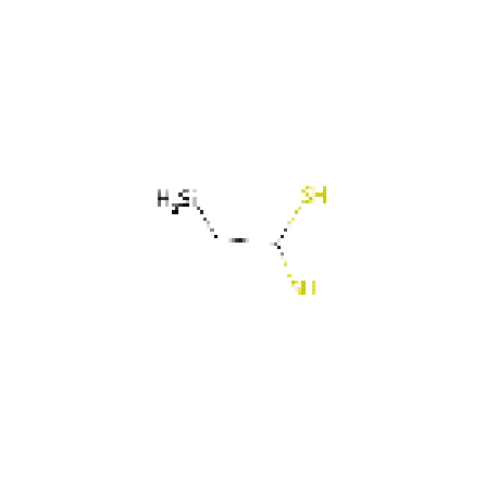 [SiH3]CC(S)S